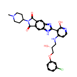 CN1CCC(N2C(=O)c3cc4nc(-c5c(NC[C@@H](O)COc6cccc(Cl)c6)ccnc5O)[nH]c4cc3C2=O)CC1